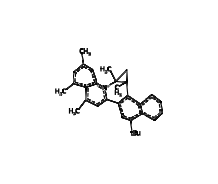 Cc1cc(C)c2c(C)cc3[n+](c2c1)C1(C)CC1(C)c1c-3cc(C(C)(C)C)c2ccccc12